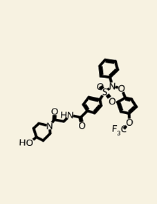 O=C(NCC(=O)N1CCC(O)CC1)c1ccc(S(=O)(=O)N(Oc2ccc(OC(F)(F)F)cc2)c2ccccc2)cc1